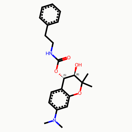 CN(C)c1ccc2c(c1)OC(C)(C)[C@H](O)[C@H]2OC(=O)NCCc1ccccc1